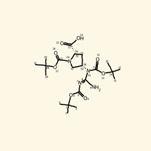 CC(C)(C)OC(=O)N=C(N)N(C(=O)OC(C)(C)C)[C@H]1C[C@@H](C(=O)O)N(C(=O)OC(C)(C)C)C1